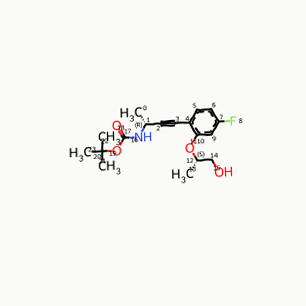 C[C@H](C#Cc1ccc(F)cc1O[C@@H](C)CO)NC(=O)OC(C)(C)C